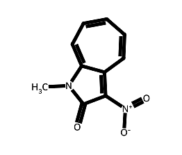 Cn1c2cccccc-2c([N+](=O)[O-])c1=O